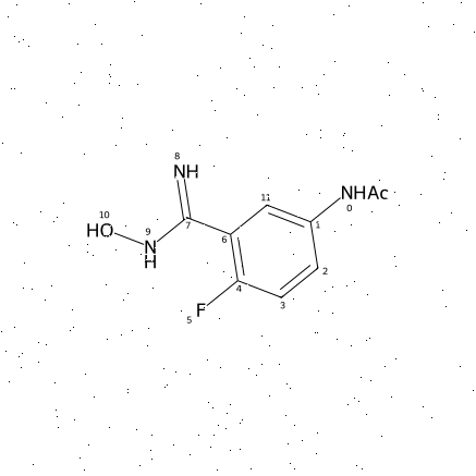 CC(=O)Nc1ccc(F)c(C(=N)NO)c1